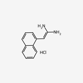 Cl.NC(N)=Cc1cccc2ccccc12